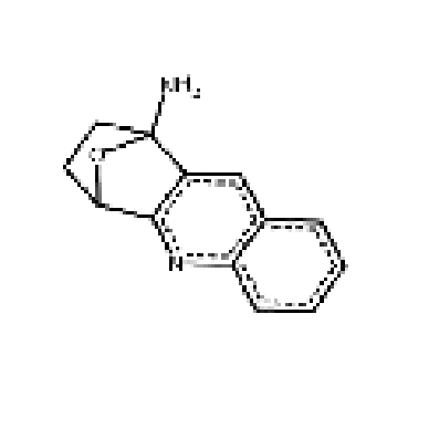 NC12CCC(O1)c1nc3ccccc3cc12